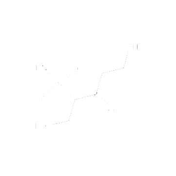 CCCC(=O)C(CC)S([NH])(=O)=O